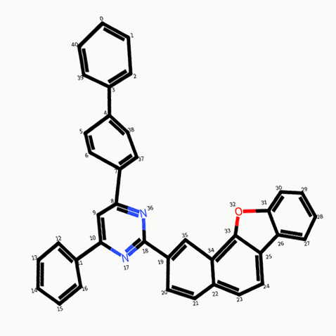 c1ccc(-c2ccc(-c3cc(-c4ccccc4)nc(-c4ccc5ccc6c7ccccc7oc6c5c4)n3)cc2)cc1